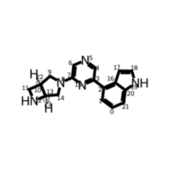 c1cc(-c2cncc(N3C[C@@H]4CN[C@@H]4C3)n2)c2cc[nH]c2c1